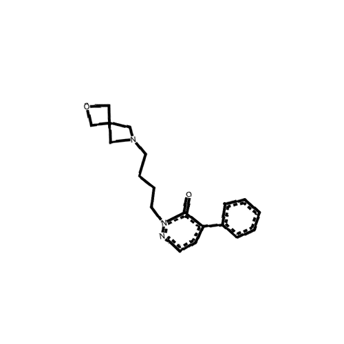 O=c1c(-c2ccccc2)ccnn1CCCCN1CC2(COC2)C1